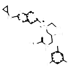 CC(C)CN(C[C@@H](O)[C@H](Cc1cc(F)cc(F)c1)NC(=O)OC(C)(C)C)S(=O)(=O)c1ccc2nc(NC3CC3)sc2c1